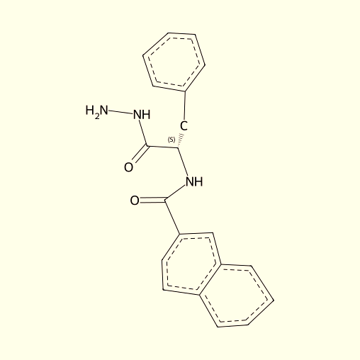 NNC(=O)[C@H](Cc1ccccc1)NC(=O)c1ccc2ccccc2c1